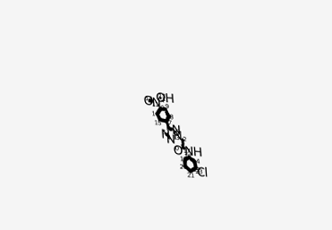 O=C(Cn1nnc(-c2ccc([N+](=O)O)cc2)n1)Nc1cccc(Cl)c1